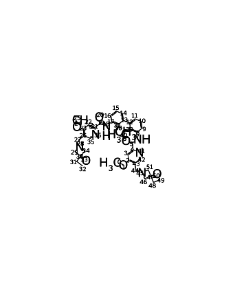 COc1cc(C(=O)Nc2cccc(-c3cccc(NC(=O)c4cc(OC)c(CN5CC6(CCO6)C5)cn4)c3C)c2C)ncc1CN1CC2(CCO2)C1